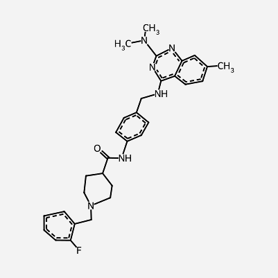 Cc1ccc2c(NCc3ccc(NC(=O)C4CCN(Cc5ccccc5F)CC4)cc3)nc(N(C)C)nc2c1